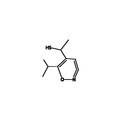 CC(C)C1=C(C(C)S)C=C=NO1